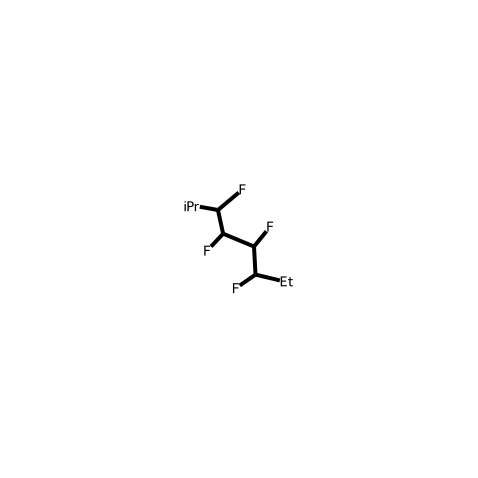 CCC(F)C(F)C(F)C(F)C(C)C